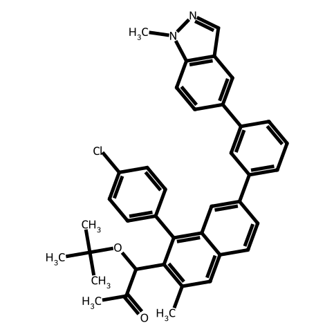 CC(=O)C(OC(C)(C)C)c1c(C)cc2ccc(-c3cccc(-c4ccc5c(cnn5C)c4)c3)cc2c1-c1ccc(Cl)cc1